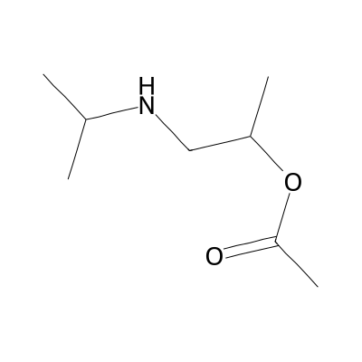 CC(=O)OC(C)CNC(C)C